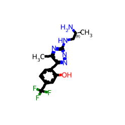 Cc1nc(NC[C@@H](C)N)nnc1-c1ccc(C(F)(F)F)cc1O